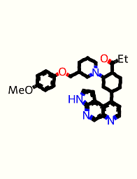 CCC(=O)C1CCC(c2ccnc3cnc4[nH]ccc4c23)CC1N1CCCC(COc2ccc(OC)cc2)C1